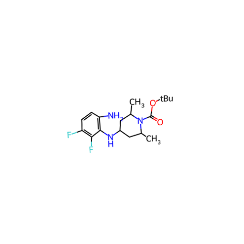 CC1CC(Nc2c(N)ccc(F)c2F)CC(C)N1C(=O)OC(C)(C)C